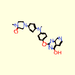 CN1CCN(c2ccc(N(C)c3ccc(Oc4nc(O)c5ccncc5n4)cc3)cc2)CC1=O